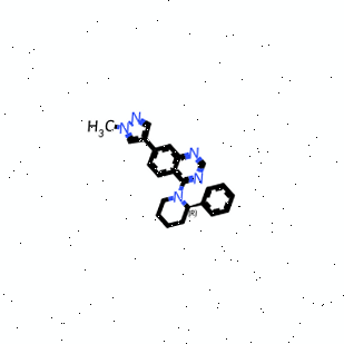 Cn1cc(-c2ccc3c(N4CCCC[C@@H]4c4ccccc4)ncnc3c2)cn1